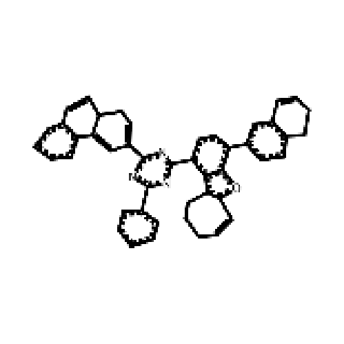 C1=Cc2oc3c(-c4ccc5c(c4)C=CCC5)ccc(-c4nc(C5=CCC6C=Cc7ccccc7C6=C5)nc(-c5ccccc5)n4)c3c2CCC1